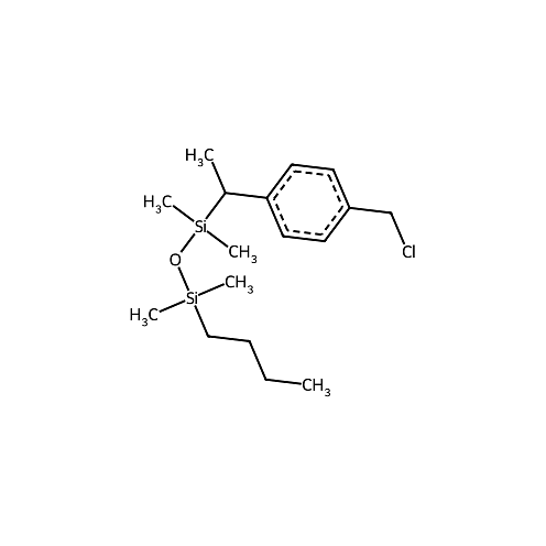 CCCC[Si](C)(C)O[Si](C)(C)C(C)c1ccc(CCl)cc1